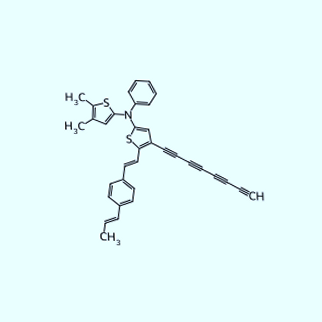 C#CC#CC#CC#Cc1cc(N(c2ccccc2)c2cc(C)c(C)s2)sc1C=Cc1ccc(C=CC)cc1